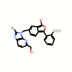 CCc1nc2ccc(CO)nc2n1Cc1ccc2c(-c3ccccc3C(=O)O)oc(Br)c2c1